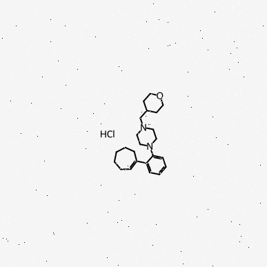 C1=C(c2ccccc2N2CCN(CC3CCOCC3)CC2)CCCCC1.Cl